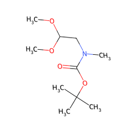 COC(CN(C)C(=O)OC(C)(C)C)OC